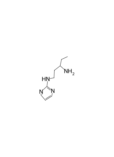 CCC(N)CCNc1ncccn1